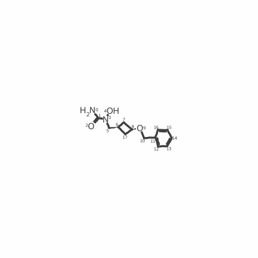 NC(=O)N(O)C[C@H]1C[C@H](OCc2ccccc2)C1